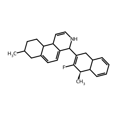 CC1CCC2C(=CC=C3C(C4=C(F)[C@H](C)C5C=CC=CC5C4)NC=CC32)C1